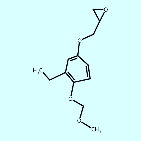 CCc1cc(OCC2CO2)ccc1OCOC